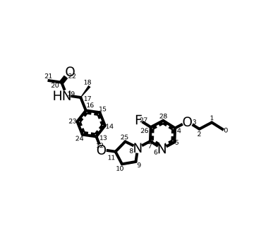 CCCOc1cnc(N2CCC(Oc3ccc([C@H](C)NC(C)=O)cc3)C2)c(F)c1